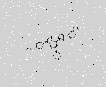 COc1ccc(-n2cnc3c(-n4ccc(-c5cccc(C)c5)n4)nc(N4CCOCC4)nc32)cc1